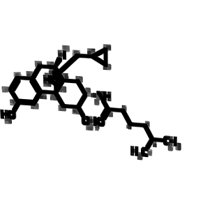 CC(C)CCCC(=O)N[C@H]1C[C@@]2(O)[C@H]3Cc4ccc(O)cc4[C@@]2(CCN3CC2CC2)CC1O